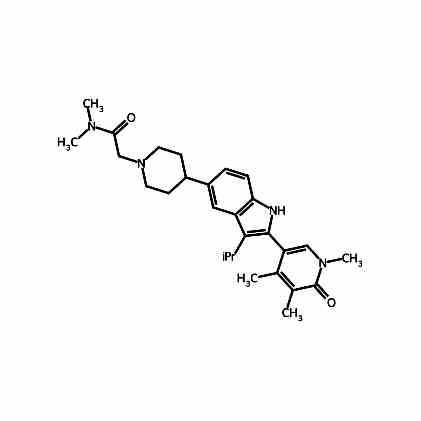 Cc1c(-c2[nH]c3ccc(C4CCN(CC(=O)N(C)C)CC4)cc3c2C(C)C)cn(C)c(=O)c1C